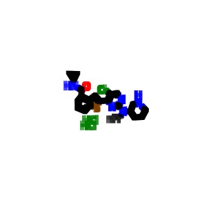 CCCN(c1ncc(Cl)c(-c2cc3c(C(=O)NC4CC4)cccc3s2)n1)C1CCCNC1.Cl.Cl